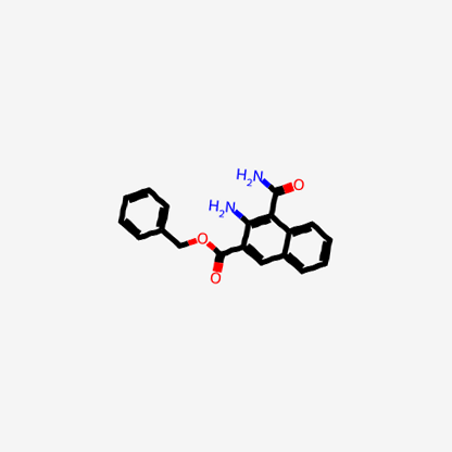 NC(=O)c1c(N)c(C(=O)OCc2ccccc2)cc2ccccc12